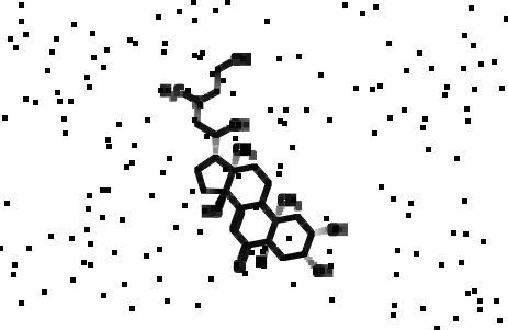 CN(CCO)CC(O)[C@H]1CC[C@@]2(O)C3=CC(=O)[C@@H]4C[C@@H](O)[C@@H](O)C[C@]4(C)C3CC[C@]12C